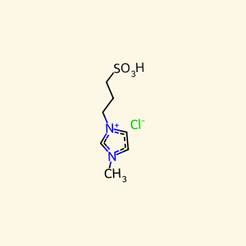 Cn1cc[n+](CCCS(=O)(=O)O)c1.[Cl-]